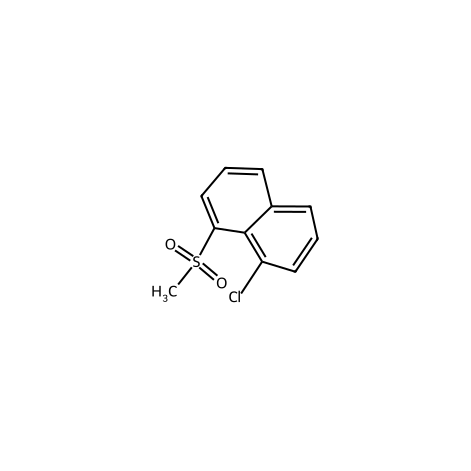 CS(=O)(=O)c1cccc2cccc(Cl)c12